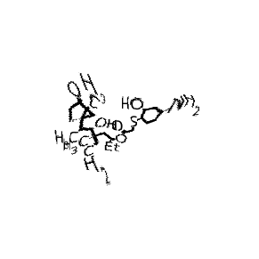 C=C[C@](C)(C[C@H](CC)OC(=O)CS[C@@H]1CC[C@@H](N)C[C@H]1O)[C@@H](O)[C@H](C)[C@@]12CCC(=O)C1(C)C2